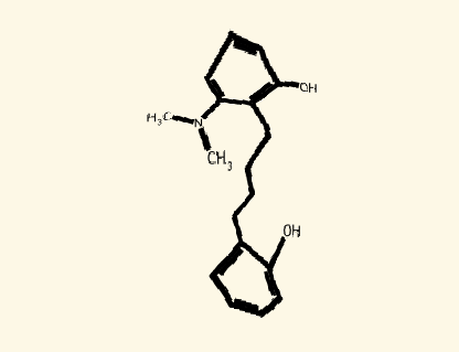 CN(C)c1cccc(O)c1CCCCc1ccccc1O